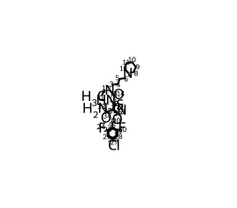 CCN(CCCCN1CCCCC1)C(=O)Nc1snc(OCc2c(F)cc(Cl)cc2F)c1C(N)=O